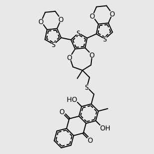 Cc1c(O)c2c(c(O)c1CSCC1(C)COc3c(-c4scc5c4OCCO5)sc(-c4scc5c4OCCO5)c3OC1)C(=O)c1ccccc1C2=O